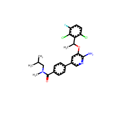 CC(C)CN(C)C(=O)c1ccc(-c2cnc(N)c(OC(C)c3c(Cl)ccc(F)c3Cl)c2)cc1